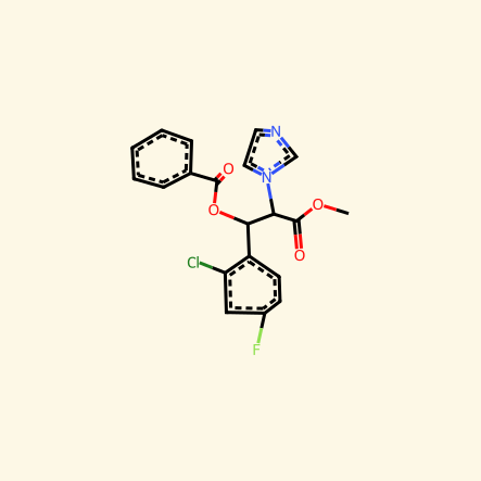 COC(=O)C(C(OC(=O)c1ccccc1)c1ccc(F)cc1Cl)n1ccnc1